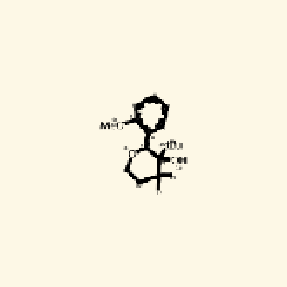 COc1ccccc1C1OCCC(C)(C)C1(O)C(C)(C)C